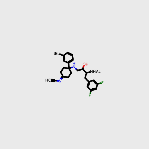 C#CN=C1CCC(NCC(O)C(Cc2cc(F)cc(F)c2)NC(C)=O)(c2cccc(C(C)(C)C)c2)CC1